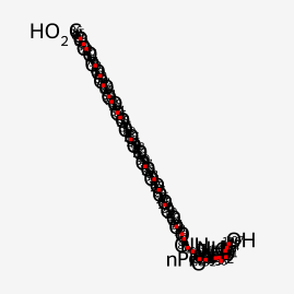 CCCN(CC#CCNC(=O)CCOCCOCCOCCOCCOCCOCCOCCOCCOCCOCCOCCOCCOCCOCCOCCOCCOCCOCCOCCOCCOCCOCCOCCOCCOCCC(=O)O)C(=O)C1=Cc2ccc(-c3cccc(S(=O)(=O)N4CC(CO)C4)c3)cc2N=C(N)C1